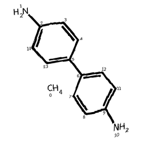 C.Nc1ccc(-c2ccc(N)cc2)cc1